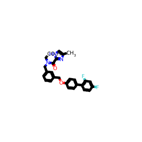 Cc1c[nH]c(C(=O)N(CC(=O)O)Cc2cccc(COc3ccc(-c4ccc(F)cc4F)cc3)c2)n1